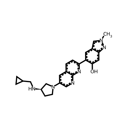 Cn1cc2cc(-c3ccc4cc(N5CC[C@@H](NCC6CC6)C5)cnc4n3)c(O)cc2n1